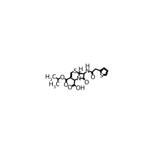 CC(C)OC(=O)C1=CS[C@@H]2C(NC(=O)Cc3cccs3)C(=O)N2C1C(=O)O